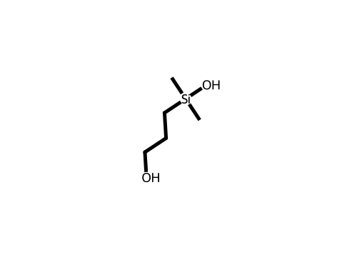 C[Si](C)(O)CCCO